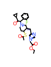 CCOC(=O)Cn1cnc(/C=C2/CN(C(C(=O)C3CC3)c3ccccc3F)CCC2SC(C)=O)c1